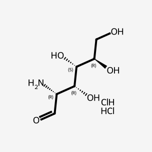 Cl.Cl.N[C@@H](C=O)[C@@H](O)[C@H](O)[C@H](O)CO